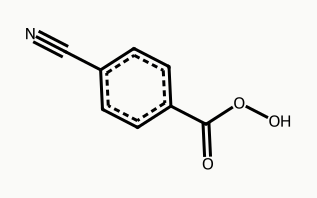 N#Cc1ccc(C(=O)OO)cc1